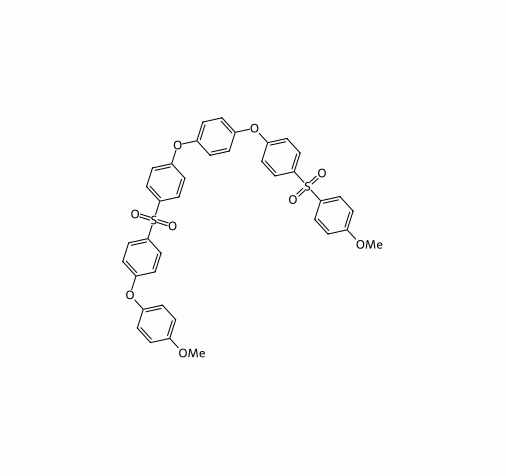 COc1ccc(Oc2ccc(S(=O)(=O)c3ccc(Oc4ccc(Oc5ccc(S(=O)(=O)c6ccc(OC)cc6)cc5)cc4)cc3)cc2)cc1